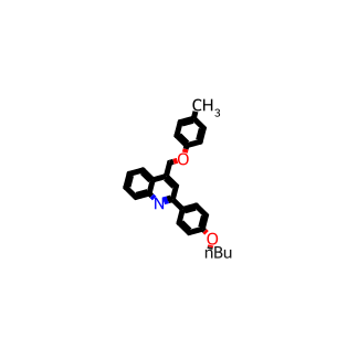 CCCCOc1ccc(-c2cc(COc3ccc(C)cc3)c3ccccc3n2)cc1